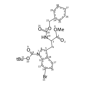 COC(=O)C(Cc1cn(C(=O)OC(C)(C)C)c2cc(Br)ccc12)NC(=O)OCc1ccccc1